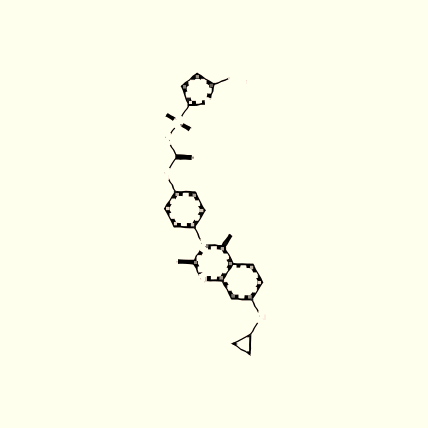 Cc1ccc(S(=O)(=O)NC(=O)Nc2ccc(-n3c(=O)[nH]c4cc(NC5CC5)ccc4c3=O)cc2)s1